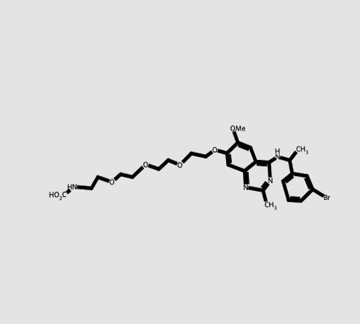 COc1cc2c(NC(C)c3cccc(Br)c3)nc(C)nc2cc1OCCOCCOCCOCCNC(=O)O